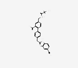 CC(C)(C)C(=O)NCc1ccc(-c2ccc(Cc3nc4cc(C#N)ccc4[nH]3)cc2)c(C(N)=O)c1